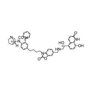 O=C(O)N(c1ccc(CCCCn2c(=O)oc3cc(CNC[C@H](O)c4ccc(O)c5[nH]c(=O)ccc45)ccc32)cc1-c1ccccc1)[C@H]1CN2CCC1CC2